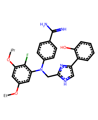 CCOc1cc(OC(C)C)c(F)c(N(Cc2nc(-c3ccccc3O)c[nH]2)c2ccc(C(=N)N)cc2)c1